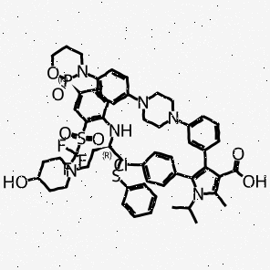 Cc1c(C(=O)O)c(-c2cccc(N3CCN(c4ccc(N5CCCO[P@]5(=O)c5ccc(N[C@H](CCN6CCC(O)CC6)CSc6ccccc6)c(S(=O)(=O)C(F)(F)F)c5)cc4)CC3)c2)c(-c2ccc(Cl)cc2)n1C(C)C